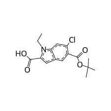 CCn1c(C(=O)O)cc2cc(C(=O)OC(C)(C)C)c(Cl)cc21